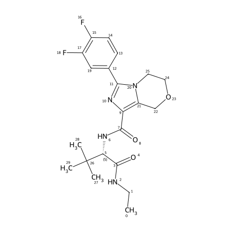 CCNC(=O)[C@@H](NC(=O)c1nc(-c2ccc(F)c(F)c2)n2c1COCC2)C(C)(C)C